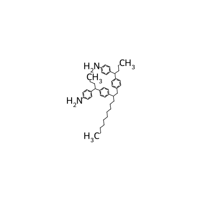 CCCCCCCCCCC(Cc1ccc(C(CCC)c2ccc(N)cc2)cc1)c1ccc(C(CCC)c2ccc(N)cc2)cc1